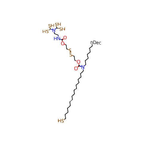 CCCCCCCCCCCCCCCCCN(CCCCCCCCCCCCCCCCCS)C(=O)OCCSSCCOC(=O)NCCN(C(S)S)C(S)S